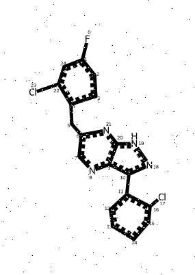 Fc1ccc(Cc2cnc3c(-c4ccccc4Cl)n[nH]c3n2)c(Cl)c1